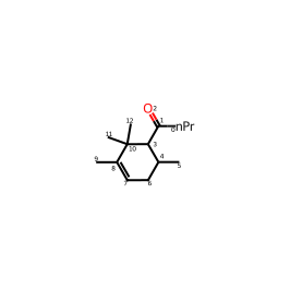 CCCC(=O)C1C(C)CC=C(C)C1(C)C